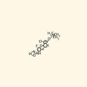 C[Si](C)(C)CCOCn1cc(Cl)c2c(Oc3c(F)cc(NC4=NCC5(CC5)CO4)cc3F)ccnc21